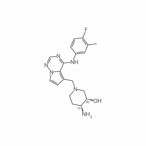 Cc1cc(Nc2ncnn3ccc(CN4CC[C@H](N)[C@H](O)C4)c23)ccc1F